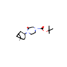 CC(C)(C)OC(=O)N1CCN(C2C[C@@H]3C[C@H]3C2)C(=O)C1